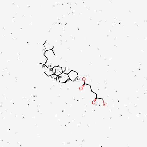 CC[C@@H](CC[C@H](C)[C@H]1CC[C@H]2[C@@H]3CC=C4C[C@@H](OC(=O)CCCC(=O)CBr)CC[C@]4(C)[C@H]3CC[C@]12C)C(C)C